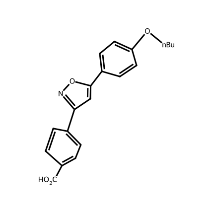 CCCCOc1ccc(-c2cc(-c3ccc(C(=O)O)cc3)no2)cc1